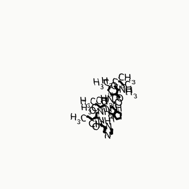 CCC[C@H](NC(=O)[C@@H]1[C@H]2CCC[C@H]2CN1C(=O)[C@@H](NC(=O)[C@@H](NC(=O)c1cnccn1)C(C)CC)C(C)(C)C)C(=O)C(=O)N[C@@H](C)C(C)C